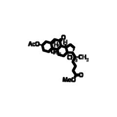 COC(=O)CCC[C@@H](C)[C@H]1CC[C@H]2[C@@H]3C(=O)C=C4C[C@@H](OC(C)=O)CC[C@]4(C)[C@H]3CC[C@]12C